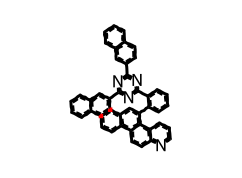 c1ccc(-c2cc3ccccc3c3ccc4ncccc4c23)c(-c2nc(-c3ccc4ccccc4c3)nc(-c3ccc4ccccc4c3)n2)c1